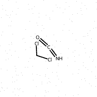 ClCCl.N=C=O